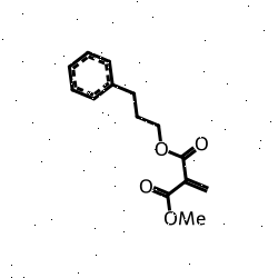 C=C(C(=O)OC)C(=O)OCCCc1ccccc1